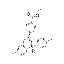 CCOC(=O)c1ccc(NCc2cc(C)ccc2S(=O)(=O)c2ccc(C)cc2)cc1